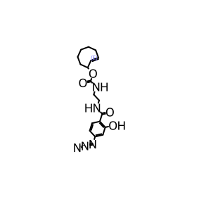 [N-]=[N+]=Nc1ccc(C(=O)NCCNC(=O)OC2/C=C/CCCCC2)c(O)c1